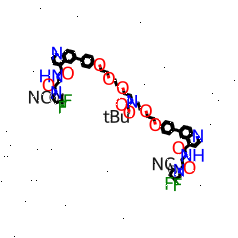 CC(C)(C)OC(=O)N(CCOCCOCCOc1ccc(-c2ccc3nccc(C(=O)NCC(=O)N4CC(F)(F)C[C@H]4C#N)c3c2)cc1)CCOCCOc1ccc(-c2ccc3nccc(C(=O)NCC(=O)N4CC(F)(F)C[C@H]4C#N)c3c2)cc1